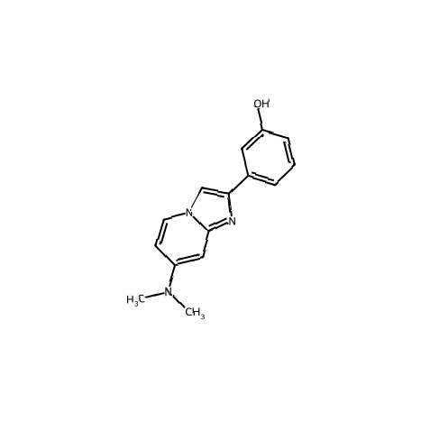 CN(C)c1ccn2cc(-c3cccc(O)c3)nc2c1